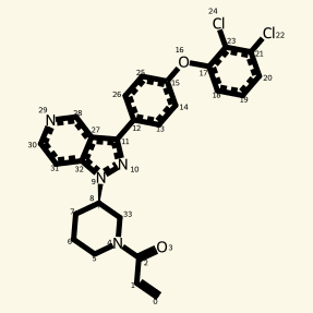 C=CC(=O)N1CCC[C@@H](n2nc(-c3ccc(Oc4cccc(Cl)c4Cl)cc3)c3cnccc32)C1